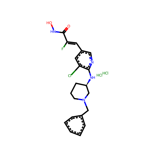 Cl.Cl.O=C(NO)/C(F)=C/c1cnc(N[C@@H]2CCCN(Cc3ccccc3)C2)c(Cl)c1